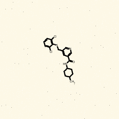 CC1CCC(NC(=O)c2cncc(CSc3c(Cl)cccc3Cl)c2)CC1